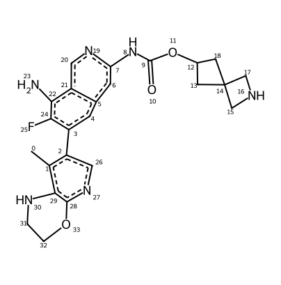 Cc1c(-c2cc3cc(NC(=O)OC4CC5(CNC5)C4)ncc3c(N)c2F)cnc2c1NCCO2